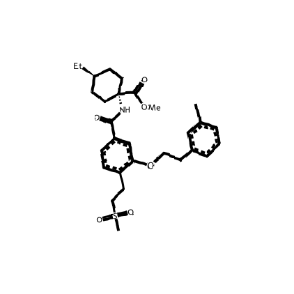 CC[C@H]1CC[C@@](NC(=O)c2ccc(CCS(C)(=O)=O)c(OCCc3cccc(C)c3)c2)(C(=O)OC)CC1